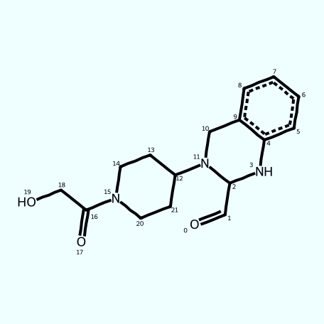 O=CC1Nc2ccccc2CN1C1CCN(C(=O)CO)CC1